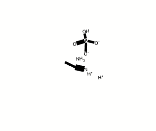 CC#N.N.O=P([O-])([O-])O.[H+].[H+]